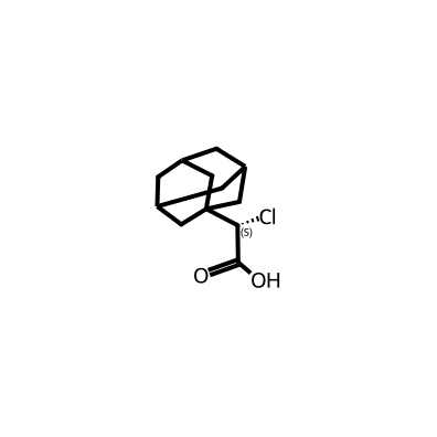 O=C(O)[C@@H](Cl)C12CC3CC(CC(C3)C1)C2